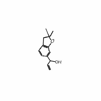 C=CC(O)c1ccc2c(c1)OC(C)(C)C2